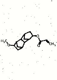 C=CC(=O)OC1CC2CC1C1C3CC(OC)C(C3)C21